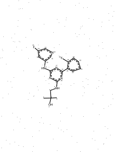 CC(C)(O)CNc1nc(Nc2cncc(F)c2)nc(-c2ccccc2F)n1